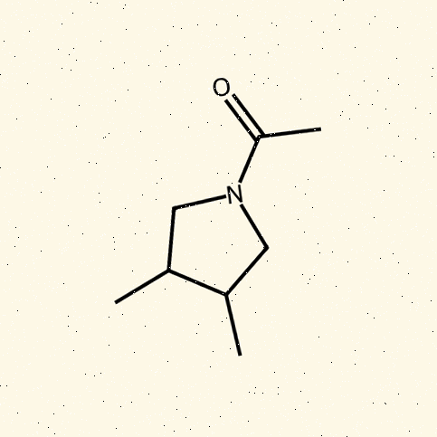 CC(=O)N1CC(C)C(C)C1